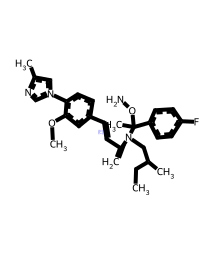 C=C(/C=C/c1ccc(-n2cnc(C)c2)c(OC)c1)N(CC(C)CC)C(C)(ON)c1ccc(F)cc1